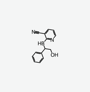 N#Cc1cccnc1BC(CO)c1ccccc1